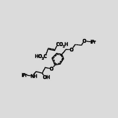 CC(C)NCC(O)COc1ccc(COCCOC(C)C)cc1.O=C(O)C=CC(=O)O